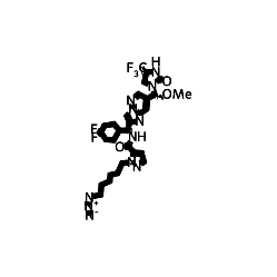 COC[C@H](c1cnn2cc([C@@H](NC(=O)c3ccnn3CCCCCCN=[N+]=[N-])C3CCC(F)(F)CC3)nc2c1)N1C[C@@H](C(F)(F)F)NC1=O